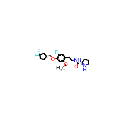 COc1cc(OC[C@H]2CCC(F)(F)C2)c(F)cc1CCNC(=O)[C@@H]1CCCN1